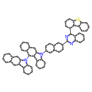 c1ccc2cc3c(cc2c1)c1ccccc1n3-c1c2ccccc2cc2c1c1ccccc1n2-c1ccc2cc(-c3nc(-c4cccc5sc6ccccc6c45)c4ccccc4n3)ccc2c1